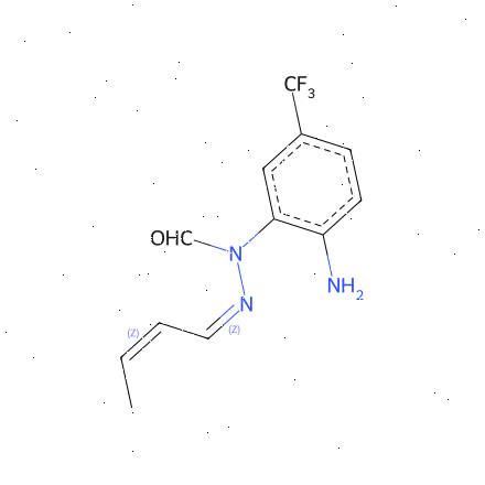 C/C=C\C=N/N(C=O)c1cc(C(F)(F)F)ccc1N